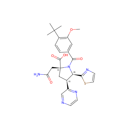 COc1cc(C(=O)N2[C@@H](c3nccs3)[C@@H](c3cnccn3)C[C@]2(CC(N)=O)C(=O)O)ccc1C(C)(C)C